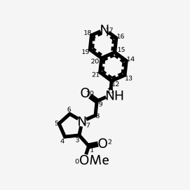 COC(=O)C1CCCN1CC(=O)Nc1ccc2cnccc2c1